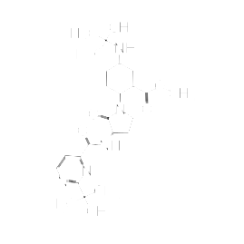 COC(=O)C1CC(NC(C)(C)C)CCC1N1CC[C@H](NC(=O)c2ccnc(C(C)(C)C)n2)C1=O